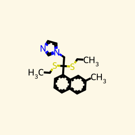 CCSC(Cn1ccnc1)(SCC)c1cccc2ccc(C)cc12